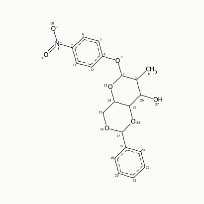 CC1C(Oc2ccc([N+](=O)[O-])cc2)OC2COC(c3ccccc3)OC2C1O